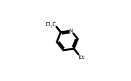 C[CH]c1ccc(C(Cl)(Cl)Cl)nc1